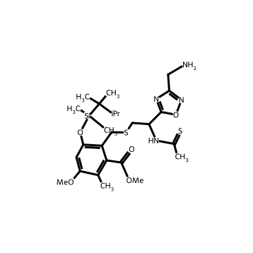 COC(=O)c1c(C)c(OC)cc(O[Si](C)(C)C(C)(C)C(C)C)c1CSCC(NC(C)=S)c1nc(CN)no1